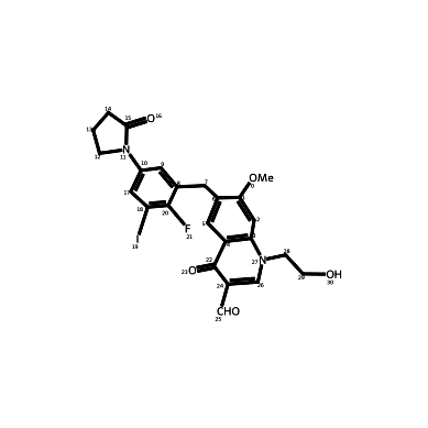 COc1cc2c(cc1Cc1cc(N3CCCC3=O)cc(I)c1F)c(=O)c(C=O)cn2CCO